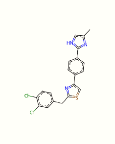 Cc1c[nH]c(-c2ccc(-c3csc(Cc4ccc(Cl)c(Cl)c4)n3)cc2)n1